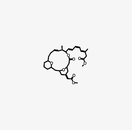 COC(=O)/C=C1\CC2CC(=O)OC(/C=C/C=C\C=C(/C)CC(=O)OC)C(C)/C=C/CCC3CCCC(CC(C1)O2)O3